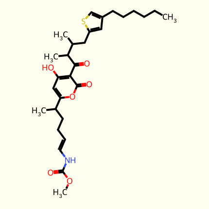 CCCCCCc1csc(CC(C)C(C)C(=O)c2c(O)cc(C(C)CC/C=C/NC(=O)OC)oc2=O)c1